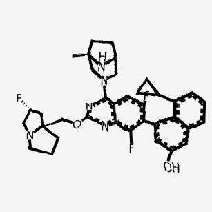 C[C@]12CCC(CN(c3nc(OC[C@@]45CCCN4C[C@H](F)C5)nc4c(F)c(-c5cc(O)cc6cccc(C7CC7)c56)c(F)cc34)C1)N2